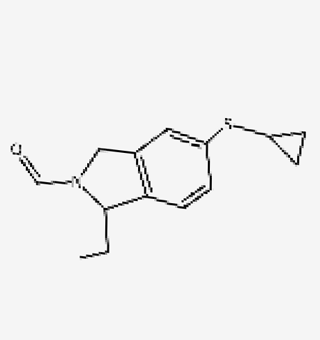 CCC1c2ccc(SC3CC3)cc2CN1C=O